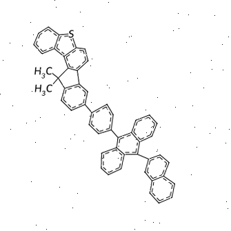 CC1(C)c2ccc(-c3ccc(-c4c5ccccc5c(-c5ccc6ccccc6c5)c5ccccc45)cc3)cc2-c2ccc3sc4ccccc4c3c21